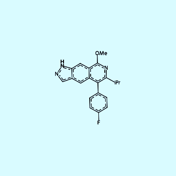 COc1nc(C(C)C)c(-c2ccc(F)cc2)c2cc3cn[nH]c3cc12